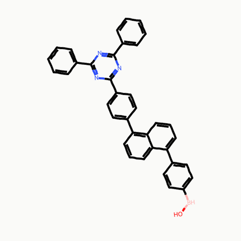 OBc1ccc(-c2cccc3c(-c4ccc(-c5nc(-c6ccccc6)nc(-c6ccccc6)n5)cc4)cccc23)cc1